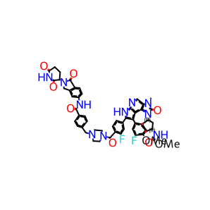 COC(=O)N[C@@H]1CC[C@@H](n2c(=O)n(C)c3cnc4[nH]c(-c5ccc(C(=O)N6CCN(Cc7ccc(C(=O)Nc8ccc9c(c8)CN(C8CCC(=O)NC8=O)C9=O)cc7)CC6)c(F)c5)c(-c5ccc(OC)c(F)c5)c4c32)C1